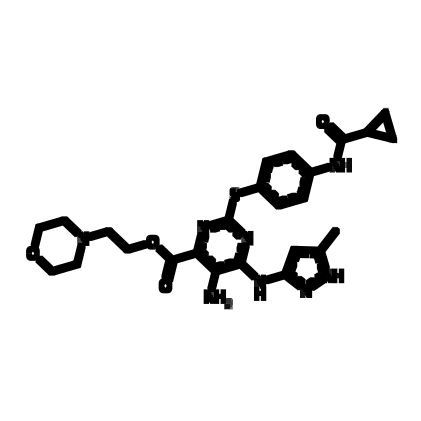 Cc1cc(Nc2nc(Sc3ccc(NC(=O)C4CC4)cc3)nc(C(=O)OCCN3CCOCC3)c2N)n[nH]1